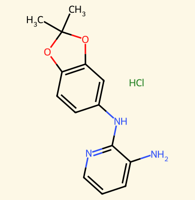 CC1(C)Oc2ccc(Nc3ncccc3N)cc2O1.Cl